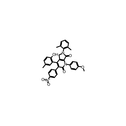 COc1ccc(-n2c3c(c(-c4cc(C)ccc4O)c(-c4ccc([N+](=O)[O-])cc4)c2=O)CN(c2c(C)cccc2C)C3=O)cc1